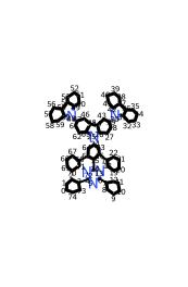 c1ccc(-c2nc(-c3ccccc3)nc(-c3c(-c4ccccc4)cc(-n4c5ccc(-n6c7ccccc7c7ccccc76)cc5c5cc(-n6c7ccccc7c7ccccc76)ccc54)cc3-c3ccccc3)n2)cc1